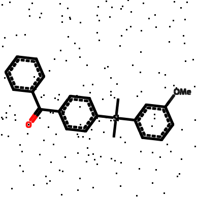 COc1cccc([Si](C)(C)c2ccc(C(=O)c3ccccc3)cc2)c1